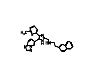 Cc1cccc(-c2nc(CNCCc3ccc4ccccc4c3)[nH]c2-c2ccc3ncnn3c2)n1